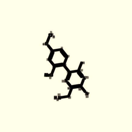 COc1cc(OC(F)(F)F)ccc1-c1nc(CN)c(Br)nc1C